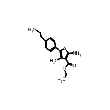 CCOC(=O)c1c(N)sc(-c2ccc(CCN)cc2)c1C